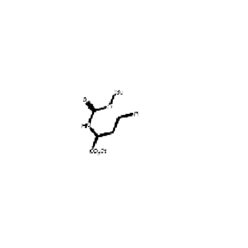 CCOC(=O)C(CCC(C)C)NC(=O)OC(C)(C)C